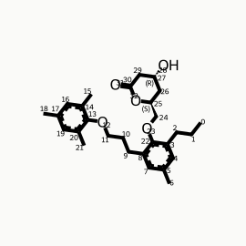 CCCc1cc(C)cc(CCCOc2c(C)cc(C)cc2C)c1OC[C@@H]1C[C@@H](O)CC(=O)O1